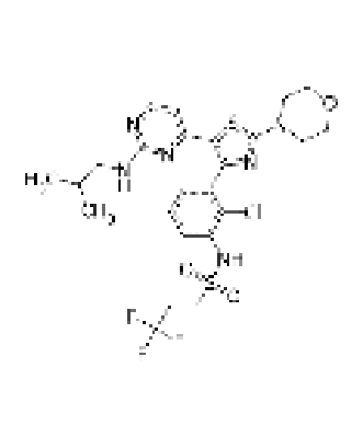 CC(C)CNc1nccc(-c2sc(N3CCOCC3)nc2-c2cccc(NS(=O)(=O)CCC(F)(F)F)c2Cl)n1